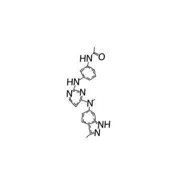 CC(=O)Nc1cccc(Nc2nccc(N(C)c3ccc4c(C)n[nH]c4c3)n2)c1